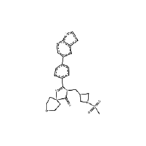 CS(=O)(=O)N1CC(CN2C(=O)C3(CCOCC3)N=C2c2ccc(-c3ccc4occc4c3)cc2)C1